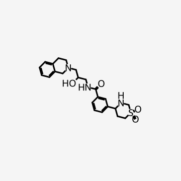 O=C(NCC(O)CN1CCc2ccccc2C1)c1cccc(C2CCS(=O)(=O)CN2)c1